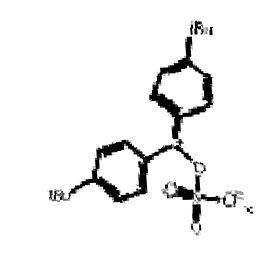 CC(C)(C)c1ccc([I+](OS(=O)(=O)C(F)(F)F)c2ccc(C(C)(C)C)cc2)cc1